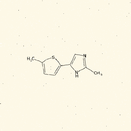 Cc1ncc(-c2ccc(C)s2)[nH]1